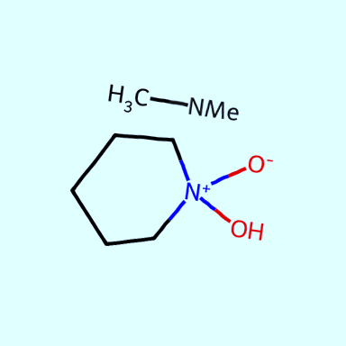 CNC.[O-][N+]1(O)CCCCC1